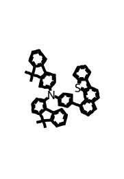 CC1(C)c2ccccc2-c2ccc(N(c3ccc(-c4cccc5ccc6c7ccccc7sc6c45)cc3)c3cccc4c3-c3ccccc3C4(C)C)cc21